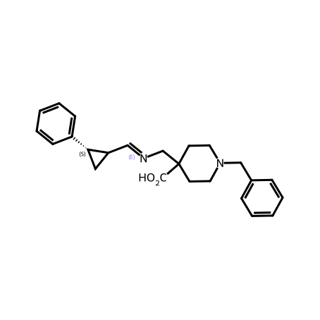 O=C(O)C1(C/N=C/C2C[C@@H]2c2ccccc2)CCN(Cc2ccccc2)CC1